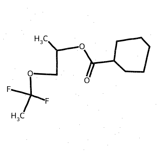 CC(COC(C)(F)F)OC(=O)C1CCCCC1